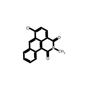 CN1C(=O)c2ccc(Cl)c3cc4ccccc4c(c23)C1=O